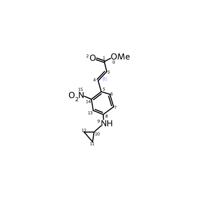 COC(=O)/C=C/c1ccc(NC2CC2)cc1[N+](=O)[O-]